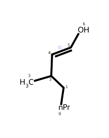 CCCCC(C)/C=C/O